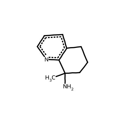 CC1(N)CCCc2cccnc21